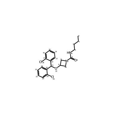 CCCCNC(=O)N1CC(OC(c2ccccc2Cl)c2ccccc2Cl)C1